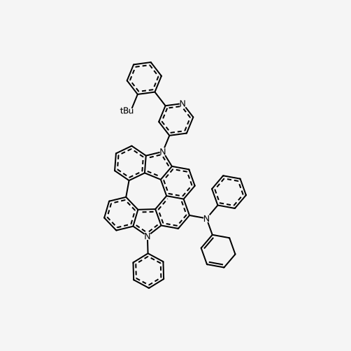 CC(C)(C)c1ccccc1-c1cc(-n2c3cccc4c3c3c5c(ccc32)c(N(C2=CC=CCC2)c2ccccc2)cc2c5c3c-4cccc3n2-c2ccccc2)ccn1